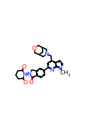 Cn1ccc2c(CN3CC4COCC(C4)C3)cc(-c3ccc4c(c3)CN(N3C(=O)CCCC3=O)C4=O)nc21